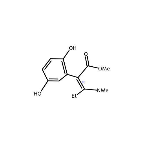 CC/C(NC)=C(/C(=O)OC)c1cc(O)ccc1O